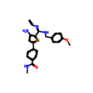 C=C/N=C(/NCc1ccc(OC)cc1)c1sc(-c2ccc(C(=O)NC)cc2)cc1N